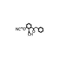 C#Cc1c(OCC#N)cccc1C(=O)Cc1ccccc1